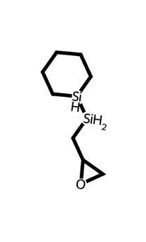 C1CC[SiH]([SiH2]CC2CO2)CC1